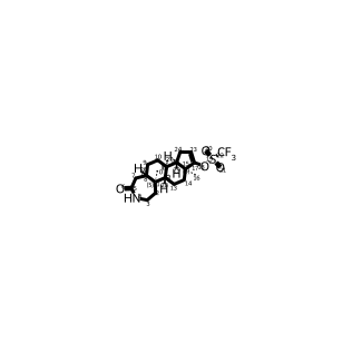 C[C@]12CCNC(=O)C[C@@H]1CC[C@@H]1[C@@H]2CC[C@]2(C)C(OS(=O)(=O)C(F)(F)F)=CC[C@@H]12